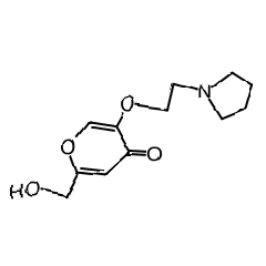 O=c1cc(CO)occ1OCCN1CCCC1